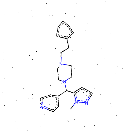 Cn1nccc1C(c1ccncc1)N1CCN(CCc2ccccc2)CC1